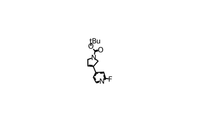 CC(C)(C)OC(=O)N1CC=C(c2ccnc(F)c2)C1